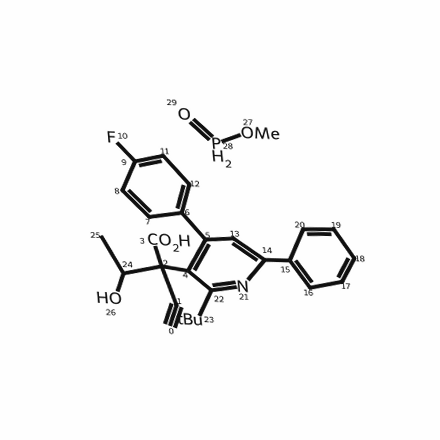 C#CC(C(=O)O)(c1c(-c2ccc(F)cc2)cc(-c2ccccc2)nc1C(C)(C)C)C(C)O.CO[PH2]=O